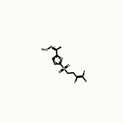 CO/N=C(/C)c1cnc(S(=O)(=O)CCC(F)=C(F)F)o1